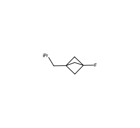 CC(C)CC12CC(F)(C1)C2